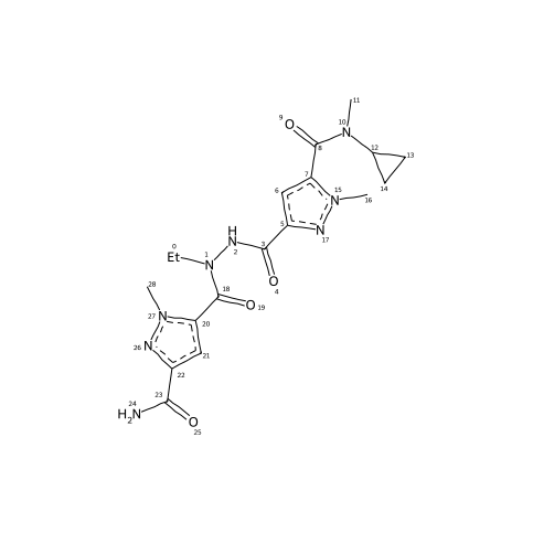 CCN(NC(=O)c1cc(C(=O)N(C)C2CC2)n(C)n1)C(=O)c1cc(C(N)=O)nn1C